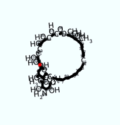 CC1OC(OC2/C=C/C=C/C=C/C=C/CC/C=C/C=C/[C@H](C)[C@@H](O)[C@@H](C)[C@H](C)OC(=O)CC(O)CC(O)CC(O)CCC(O)C(O)C[C@]3(O)CC(O)C(C(=O)O)C(C2)O3)C(O)C(N)C1O